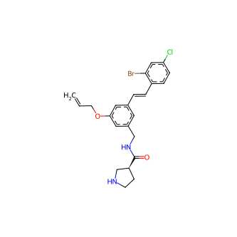 C=CCOc1cc(/C=C/c2ccc(Cl)cc2Br)cc(CNC(=O)[C@H]2CCNC2)c1